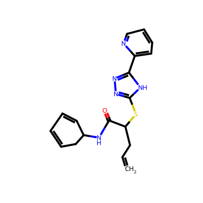 C=CCC(Sc1nnc(-c2ccccn2)[nH]1)C(=O)NC1C=CC=CC1